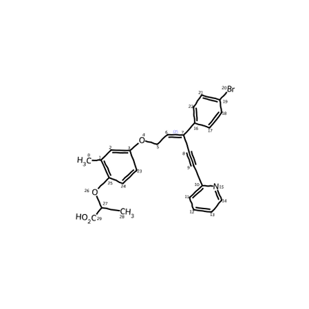 Cc1cc(OC/C=C(\C#Cc2ccccn2)c2ccc(Br)cc2)ccc1OC(C)C(=O)O